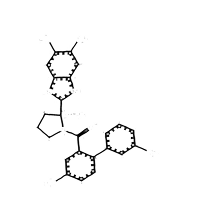 Cc1cccc(-c2ccc(C)cc2C(=O)N2CCC[C@@]2(C)c2nc3cc(C)c(C)cc3[nH]2)c1